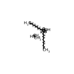 CCCCCCCCCCCCCC(F)(CCCCCCCCCCC)S(=O)(=O)O.CNC